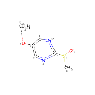 C[S+]([O-])c1ncc(OC(=O)O)cn1